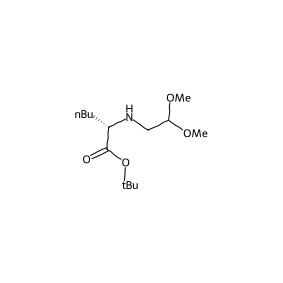 CCCC[C@H](NCC(OC)OC)C(=O)OC(C)(C)C